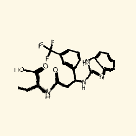 CCC(NC(=O)CC(Nc1nc2ccccc2[nH]1)c1cccc(C(F)(F)F)c1)C(=O)O